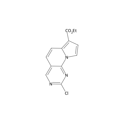 CCOC(=O)c1ccn2c1ccc1cnc(Cl)nc12